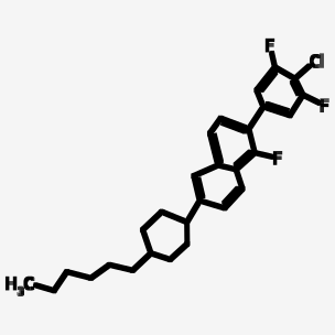 CCCCCCC1CCC(c2ccc3c(F)c(-c4cc(F)c(Cl)c(F)c4)ccc3c2)CC1